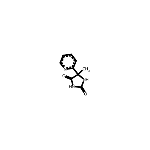 CC1(c2ccccn2)NC(=O)NC1=O